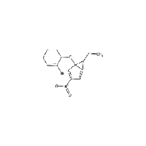 CCC1C2=CC([N+](=O)[O-])=CC21OC1CCCC=C1Br